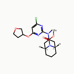 CN(c1nc(Cl)cc(OC2CCOC2)n1)C1C[C@H]2CCC[C@@H](C1)N2C(=O)OC(C)(C)C